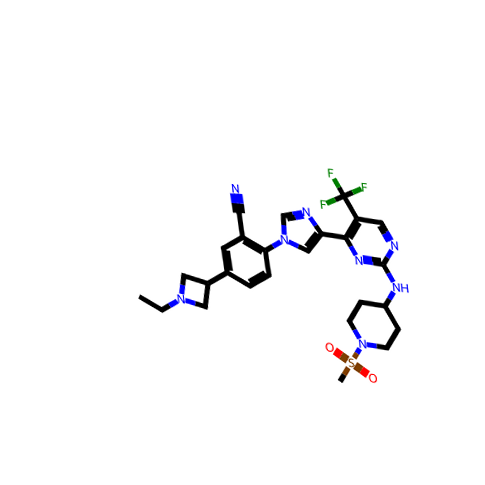 CCN1CC(c2ccc(-n3cnc(-c4nc(NC5CCN(S(C)(=O)=O)CC5)ncc4C(F)(F)F)c3)c(C#N)c2)C1